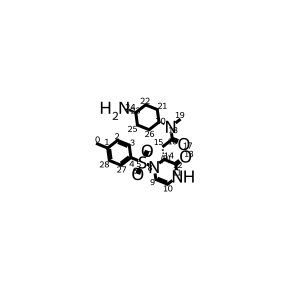 Cc1ccc(S(=O)(=O)N2C=CNC(=O)[C@H]2CC(=O)N(C)[C@H]2CC[C@H](N)CC2)cc1